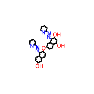 Oc1ccc2c(/N=N/c3ccccn3)c(Oc3ccc4c(O)cc(O)c(/N=N/c5ccccn5)c4c3)ccc2c1